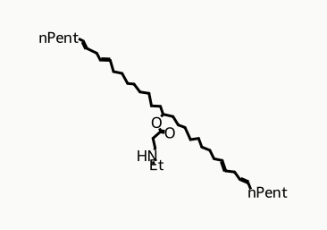 CCCCC/C=C/C/C=C/CCCCCCCCC(CCCCCCCC/C=C/C/C=C/CCCCC)OC(=O)CCNCC